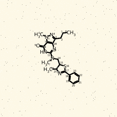 CCCc1nn(C)c2c(=O)[nH]c(N(C)CC3SC(c4ccccc4)=NC3C)nc12